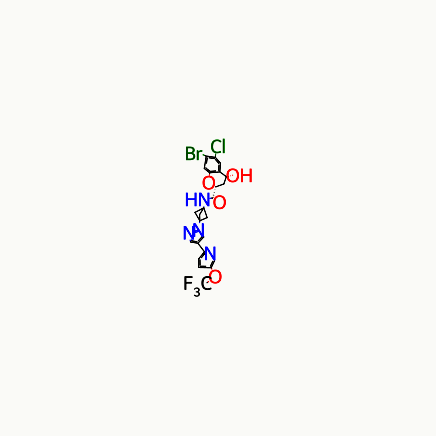 O=C(NC12CC(n3cc(-c4ccc(OC(F)(F)F)cn4)cn3)(C1)C2)[C@H]1C[C@@H](O)c2cc(Cl)c(Br)cc2O1